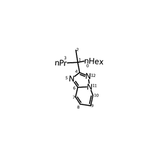 CCCCCCC(C)(CCC)c1nc2ccccn2n1